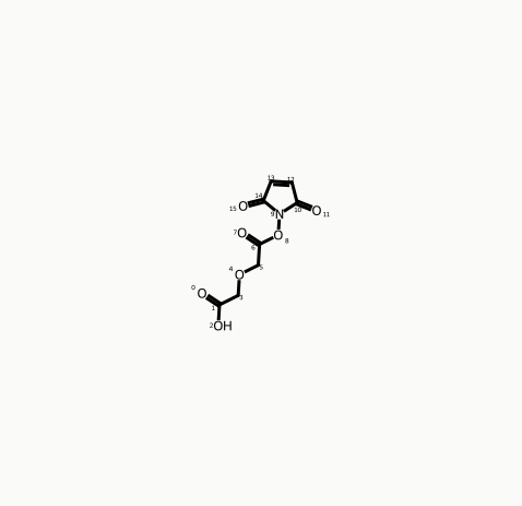 O=C(O)COCC(=O)ON1C(=O)C=CC1=O